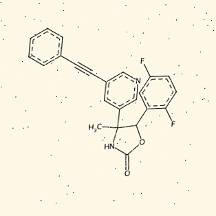 CC1(c2cncc(C#Cc3ccccc3)c2)NC(=O)OC1c1cc(F)ccc1F